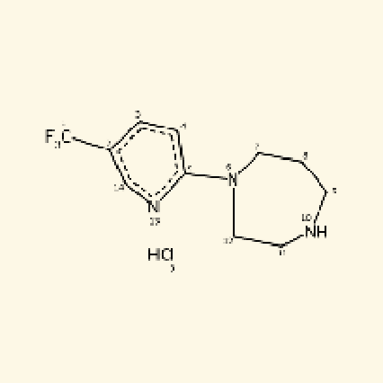 Cl.FC(F)(F)c1ccc(N2CCCNCC2)nc1